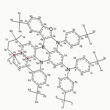 CC(C)(C)c1ccc(N(c2ccc(C(C)(C)C)cc2)c2cc3c4c(c2)N(c2ccc(C(C)(C)C)cc2)c2oc5ccc(C(C)(C)C)cc5c2B4c2cc4c(cc2N3c2ccc(C(C)(C)C)cc2-c2ccccc2)C(C)(C)CCC4(C)C)cc1